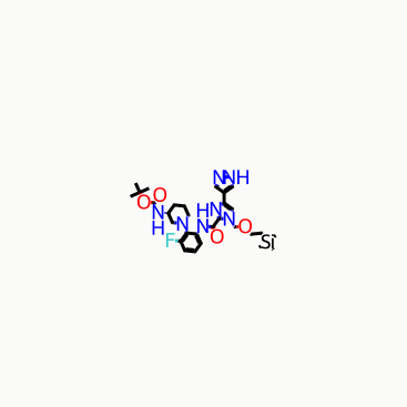 CC(C)(C)OC(=O)N[C@@H]1CCCN(c2c(F)cccc2NC(=O)c2nc(-c3cn[nH]c3)cn2COCC[Si](C)(C)C)C1